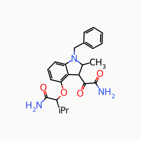 CC(C)C(Oc1cccc2c1C(C(=O)C(N)=O)C(C)N2Cc1ccccc1)C(N)=O